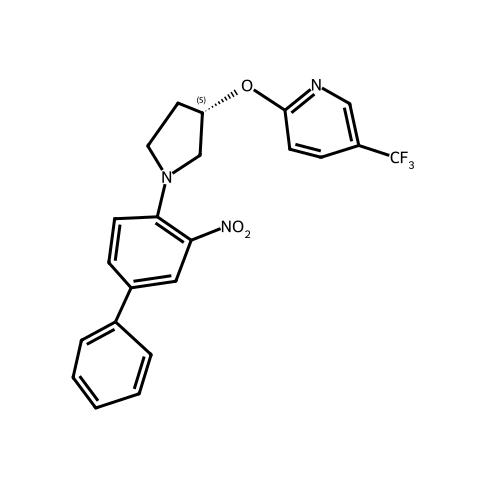 O=[N+]([O-])c1cc(-c2ccccc2)ccc1N1CC[C@H](Oc2ccc(C(F)(F)F)cn2)C1